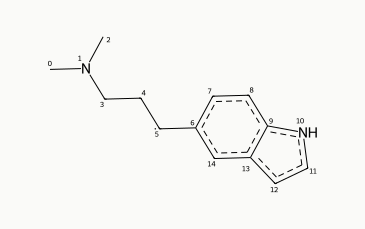 CN(C)CC[CH]c1ccc2[nH]ccc2c1